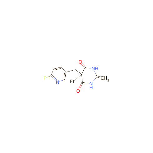 C=C1NC(=O)C(CC)(Cc2ccc(F)nc2)C(=O)N1